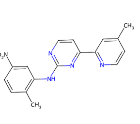 Cc1ccnc(-c2ccnc(Nc3cc([N+](=O)[O-])ccc3C)n2)c1